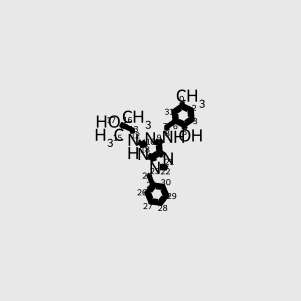 Cc1ccc(O)c(CNc2nc(NCC(C)(C)O)nc3c2ncn3Cc2ccccc2)c1